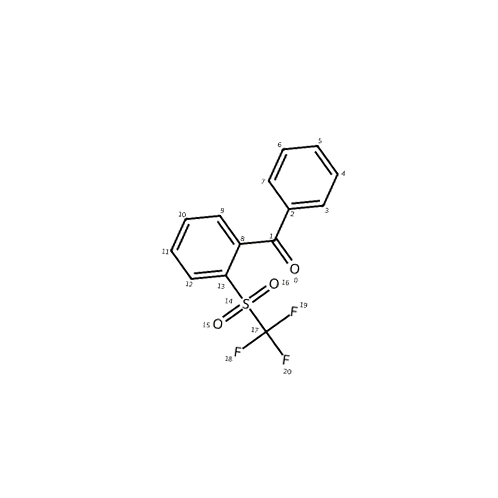 O=C(c1ccccc1)c1ccccc1S(=O)(=O)C(F)(F)F